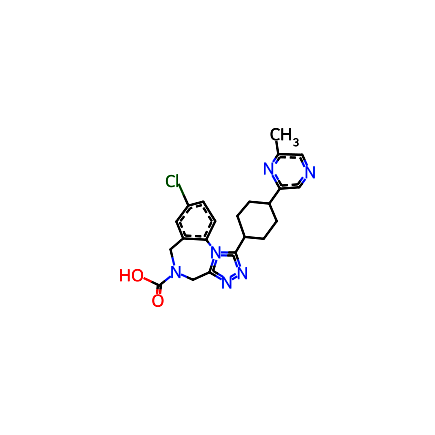 Cc1cncc(C2CCC(c3nnc4n3-c3ccc(Cl)cc3CN(C(=O)O)C4)CC2)n1